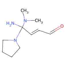 CN(C)C(N)(C=CC=O)N1CCCC1